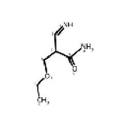 CCOCC(C=N)C(N)=O